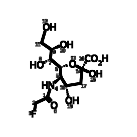 O=C(CF)N[C@H]1[C@H]([C@H](O)[C@H](O)CO)O[C@](O)(C(=O)O)C[C@@H]1O